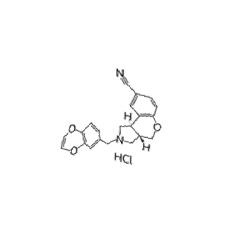 Cl.N#Cc1ccc2c(c1)[C@@H]1CN(Cc3ccc4c(c3)OC=CO4)C[C@H]1CO2